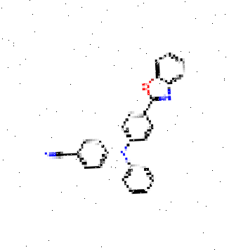 N#Cc1ccc(N(c2ccccc2)c2ccc(-c3nc4ccccc4o3)cc2)cc1